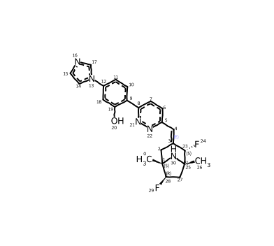 C[C@]12C/C(=C\c3ccc(-c4ccc(-n5ccnc5)cc4O)nn3)[C@H](F)[C@](C)(C[C@H]1F)N2